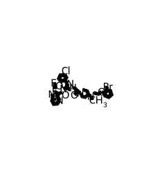 CN(CCOc1ccccc1Br)C1CCN(C(=O)Cn2cc(NC(=O)c3cnn4cccnc34)c(-c3cc(Cl)ccc3OC(F)F)n2)CC1